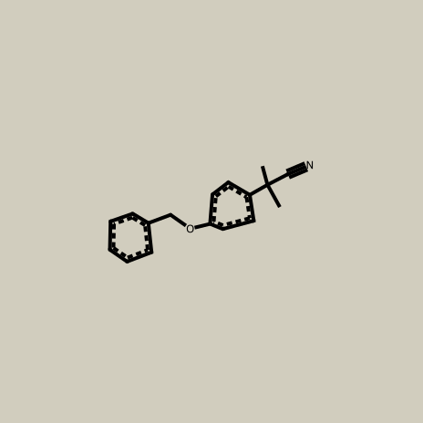 CC(C)(C#N)c1ccc(OCc2ccccc2)cc1